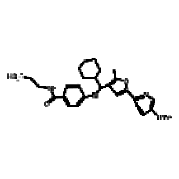 COc1ccc(-c2cc(C(Nc3ccc(C(=O)NCCC(=O)O)cc3)C3CCCCC3)c(C)o2)nc1